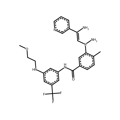 COCCNc1cc(NC(=O)c2ccc(C)c(N(N)/C=C(\N)c3cccnc3)c2)cc(C(F)(F)F)c1